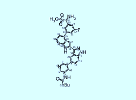 CCCCC(=O)Nc1cncc(-c2ccc3[nH]nc(-c4cc5c(-c6cc(F)cc(C(N)S(C)(=O)=O)c6)ccnc5[nH]4)c3c2)c1